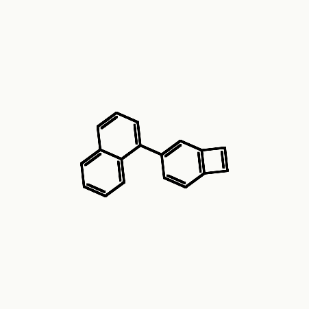 C1=Cc2cc(-c3cccc4ccccc34)ccc21